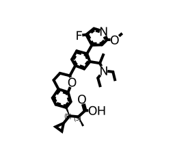 CCN(CC)C(C)c1cc(C2CCc3ccc([C@H](C4CC4)[C@H](C)C(=O)O)cc3O2)ccc1-c1cc(OC)ncc1F